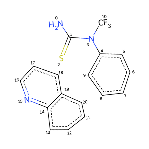 NC(=S)N(c1ccccc1)C(F)(F)F.c1ccc2ncccc2c1